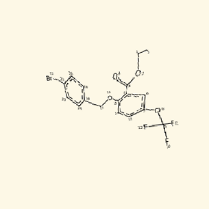 CCOC(=O)c1cc(OC(F)(F)F)ccc1OCc1ccc(Br)cc1